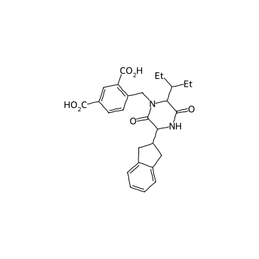 CCC(CC)C1C(=O)NC(C2Cc3ccccc3C2)C(=O)N1Cc1ccc(C(=O)O)cc1C(=O)O